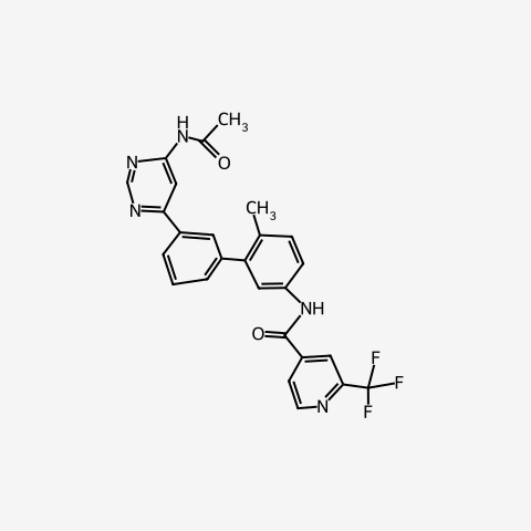 CC(=O)Nc1cc(-c2cccc(-c3cc(NC(=O)c4ccnc(C(F)(F)F)c4)ccc3C)c2)ncn1